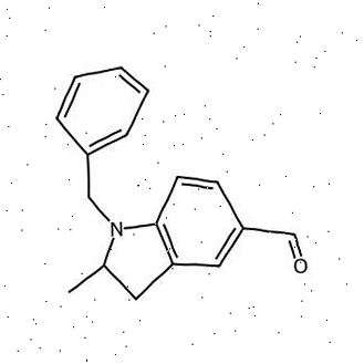 CC1Cc2cc(C=O)ccc2N1Cc1ccccc1